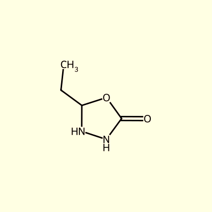 CCC1NNC(=O)O1